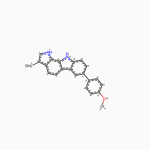 O=Cc1c[nH]c2c1ccc1c3cc(-c4ccc(OC(F)(F)F)cc4)ccc3[nH]c12